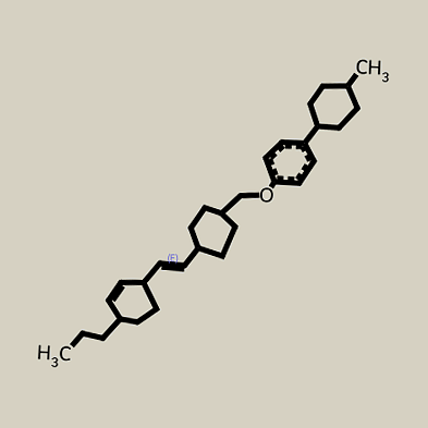 CCCC1C=CC(/C=C/C2CCC(COc3ccc(C4CCC(C)CC4)cc3)CC2)CC1